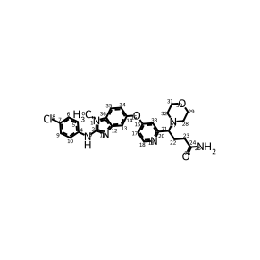 Cn1c(Nc2ccc(Cl)cc2)nc2cc(Oc3ccnc(C(CCC(N)=O)N4CCOCC4)c3)ccc21